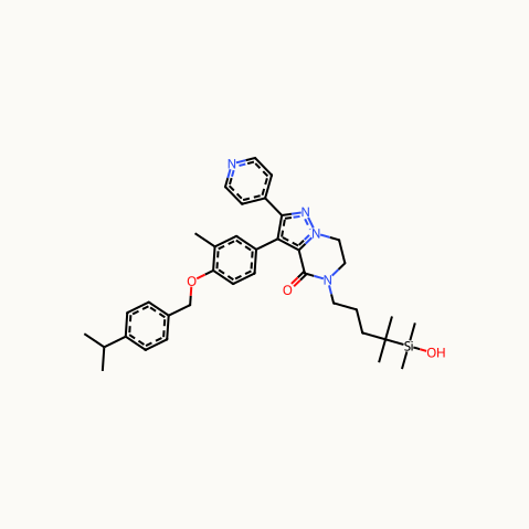 Cc1cc(-c2c(-c3ccncc3)nn3c2C(=O)N(CCCC(C)(C)[Si](C)(C)O)CC3)ccc1OCc1ccc(C(C)C)cc1